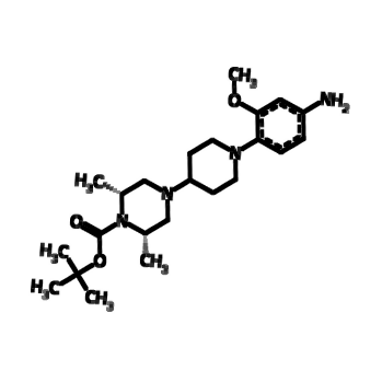 COc1cc(N)ccc1N1CCC(N2C[C@@H](C)N(C(=O)OC(C)(C)C)[C@@H](C)C2)CC1